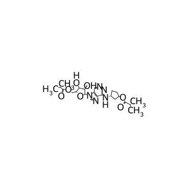 CC(C)C(=O)OCC1OC(n2cnc3c(N[C@@H]4CC[C@@H](OC(=O)C(C)C)C4)nncc32)[C@H](O)[C@@H]1O